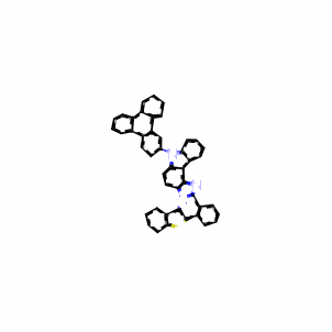 c1ccc2c(c1)sc1c3ccccc3c3nc4c5c6ccccc6n(-c6ccc7c8ccccc8c8ccccc8c7c6)c5ccc4n3c21